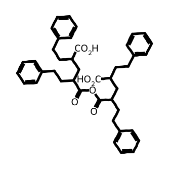 O=C(O)C(CCc1ccccc1)CC(CCc1ccccc1)C(=O)OC(=O)C(CCc1ccccc1)CC(CCc1ccccc1)C(=O)O